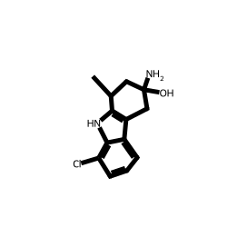 CC1CC(N)(O)Cc2c1[nH]c1c(Cl)cccc21